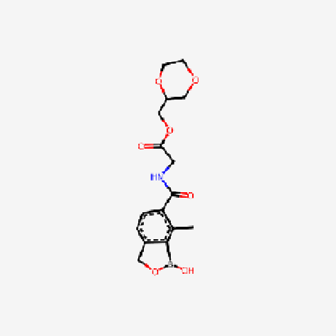 Cc1c(C(=O)NCC(=O)OCC2COCCO2)ccc2c1B(O)OC2